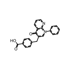 O=C(O)c1ccc(Cc2cn(-c3ccccc3)c3ncccc3c2=O)cc1